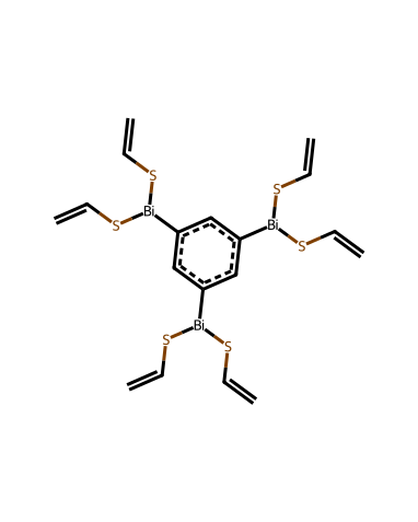 C=C[S][Bi]([S]C=C)[c]1c[c]([Bi]([S]C=C)[S]C=C)c[c]([Bi]([S]C=C)[S]C=C)c1